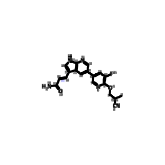 C[C@@H](C#N)COc1ncc(-c2cnc3[nH]cc(/C=C/C(N)=O)c3c2)cc1F